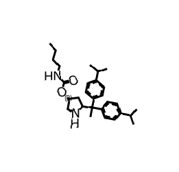 CCCCNC(=O)O[C@H]1CNC(C(C)(c2ccc(C(C)C)cc2)c2ccc(C(C)C)cc2)C1